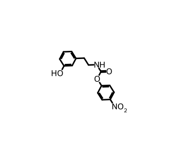 O=C(NCCc1cccc(O)c1)Oc1ccc([N+](=O)[O-])cc1